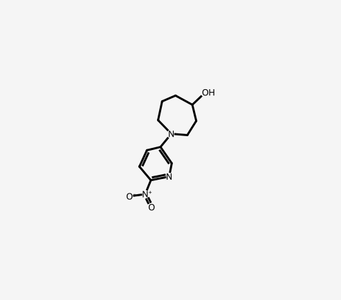 O=[N+]([O-])c1ccc(N2CCCC(O)CC2)cn1